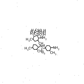 CC1CCC(N)C(C)C1.CC1CCC(N)C(C)C1.CC1CCC(N)C(C)C1.CS(=O)(=O)O.CS(=O)(=O)O.CS(=O)(=O)O